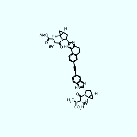 COC(=O)N[C@H](C(=O)N1[C@@H]2C[C@H]2C[C@H]1c1nc2c([nH]1)-c1ccc(C#Cc3ccc4[nH]c([C@@H]5C[C@H]6C[C@H]6N5C(=O)[C@H](C(C)C)N(C)C(=O)O)nc4c3)cc1CC2)C(C)C